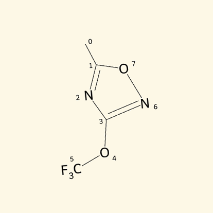 Cc1nc(OC(F)(F)F)no1